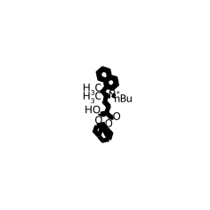 CCCC[N+]1=C(/C=C/C2=C(O)OC3(OC2=O)C2CC4CC(C2)CC3C4)C(C)(C)c2c1ccc1ccccc21